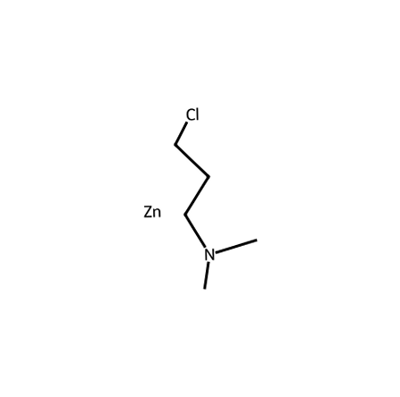 CN(C)CCCCl.[Zn]